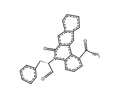 NC(=O)c1cccc2c1c1cc3ccccc3cc1c(=O)n2[C@H](C=O)Cc1ccccc1